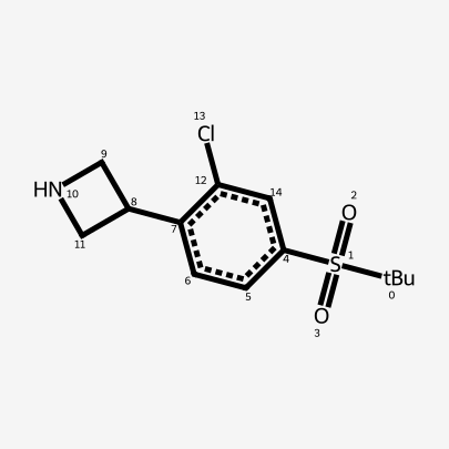 CC(C)(C)S(=O)(=O)c1ccc(C2CNC2)c(Cl)c1